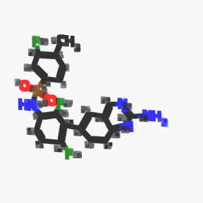 Cc1ccc(S(=O)(=O)Nc2ccc(F)c(-c3ccc4nc(N)ncc4c3)c2F)cc1F